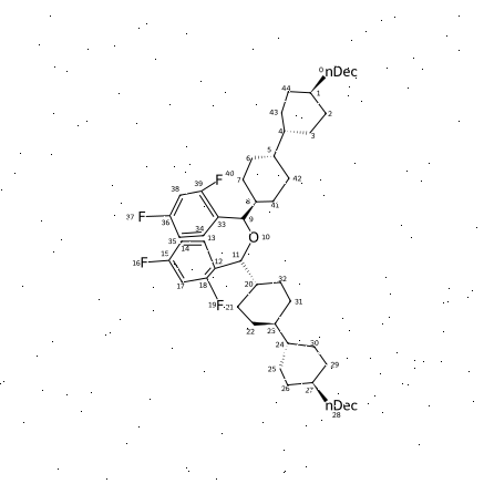 CCCCCCCCCC[C@H]1CC[C@H]([C@H]2CC[C@H](C(OC(c3ccc(F)cc3F)[C@H]3CC[C@H]([C@H]4CC[C@H](CCCCCCCCCC)CC4)CC3)c3ccc(F)cc3F)CC2)CC1